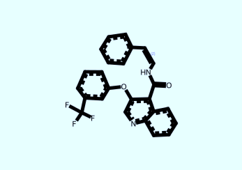 O=C(N/C=C\c1ccccc1)c1c(Oc2cccc(C(F)(F)F)c2)cnc2ccccc12